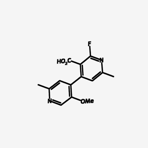 COc1cnc(C)cc1-c1cc(C)nc(F)c1C(=O)O